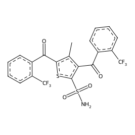 Cc1c(C(=O)c2ccccc2C(F)(F)F)sc(S(N)(=O)=O)c1C(=O)c1ccccc1C(F)(F)F